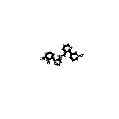 [O-][n+]1cccc(-c2ncccc2CNc2nnnn2-c2cccc(Cl)c2Cl)c1